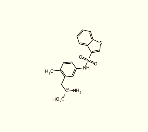 Cc1ccc(NS(=O)(=O)c2csc3ccccc23)cc1C[C@H](N)C(=O)O